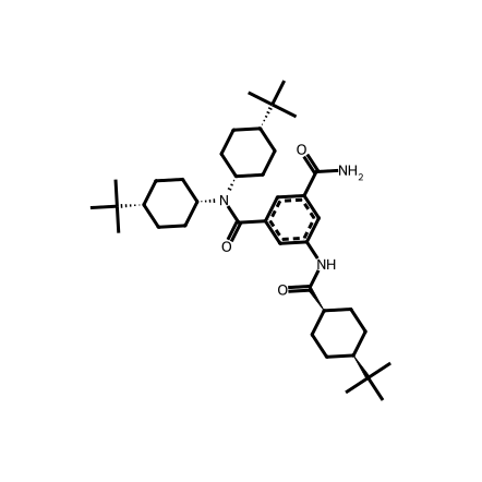 CC(C)(C)[C@H]1CC[C@@H](C(=O)Nc2cc(C(N)=O)cc(C(=O)N([C@H]3CC[C@@H](C(C)(C)C)CC3)[C@H]3CC[C@@H](C(C)(C)C)CC3)c2)CC1